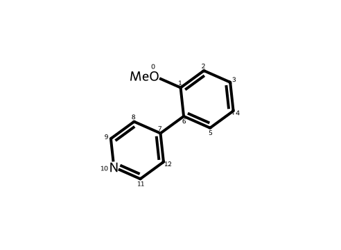 COc1cc[c]cc1-c1ccncc1